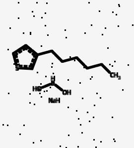 CCCCCCc1ccsc1.OBO.[NaH]